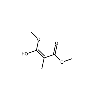 COC(=O)/C(C)=C(/O)OC